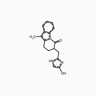 Cc1c2n(c3ccccc13)C(=O)C(Cc1nc(O)c[nH]1)CC2